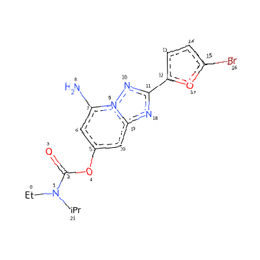 CCN(C(=O)Oc1cc(N)n2nc(-c3ccc(Br)o3)nc2c1)C(C)C